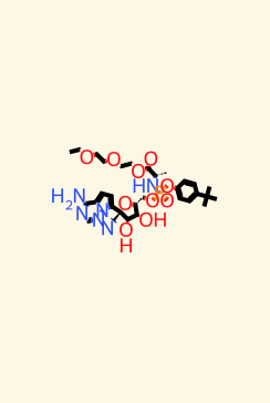 CCOCCOCCOC(=O)[C@H](C)NP(=O)(OC[C@H]1O[C@@](C#N)(c2ccc3c(N)ncnn23)[C@H](O)[C@@H]1O)Oc1ccc(C(C)(C)C)cc1